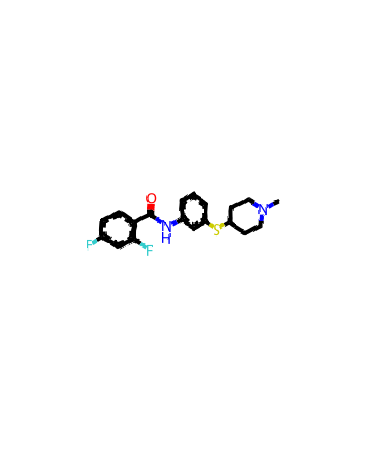 CN1CCC(Sc2cccc(NC(=O)c3ccc(F)cc3F)c2)CC1